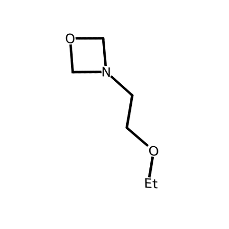 CCOCCN1COC1